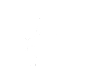 C[C@]12C(CCO)CC(=O)CC1CC[C@@H]1[C@@H]2CC[C@]2(C)C(c3ccncn3)=CC[C@@H]12